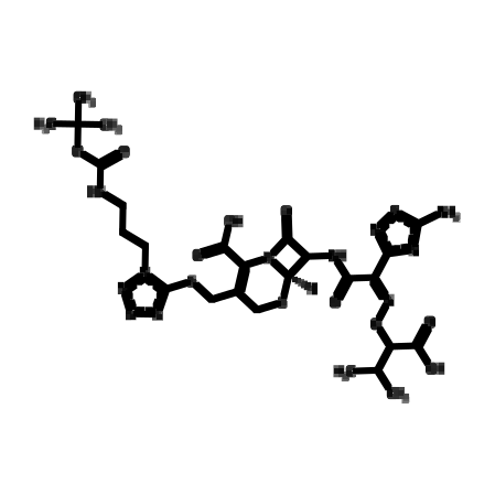 CC(C)C(O/N=C(\C(=O)NC1C(=O)N2C(C(=O)O)=C(CSc3nnnn3CCCNC(=O)OC(C)(C)C)CS[C@H]12)c1nsc(N)n1)C(=O)O